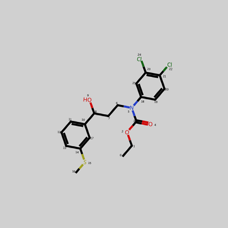 CCOC(=O)N(CCC(O)c1cccc(SC)c1)c1ccc(Cl)c(Cl)c1